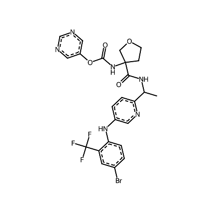 CC(NC(=O)C1(NC(=O)Oc2cncnc2)CCOC1)c1ccc(Nc2ccc(Br)cc2C(F)(F)F)cn1